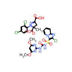 CC1(C(=O)O)CC(C(=O)O)=NN1c1ccc(Cl)cc1Cl.COc1cc(OC)nc(NC(=O)NS(=O)(=O)c2c(Cl)nc3ccccn23)n1